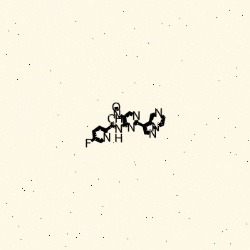 C[C@@H](Nc1nc(-c2cnn3ccncc23)ncc1N=O)c1ccc(F)cn1